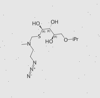 CC(C)OC[C@@H](O)[C@@H](O)[C@H](O)SCN(C)CCN=[N+]=[N-]